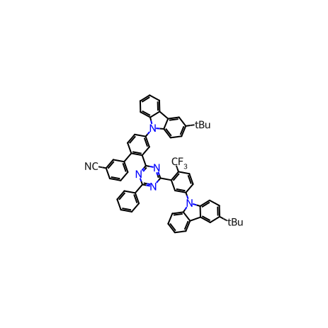 CC(C)(C)c1ccc2c(c1)c1ccccc1n2-c1ccc(-c2cccc(C#N)c2)c(-c2nc(-c3ccccc3)nc(-c3cc(-n4c5ccccc5c5cc(C(C)(C)C)ccc54)ccc3C(F)(F)F)n2)c1